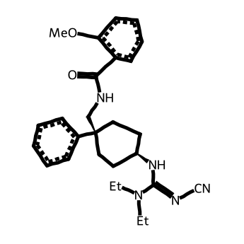 CCN(CC)/C(=N/C#N)N[C@H]1CC[C@](CNC(=O)c2ccccc2OC)(c2ccccc2)CC1